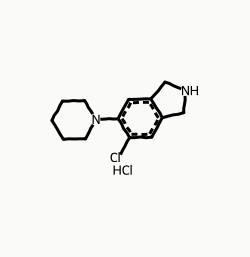 Cl.Clc1cc2c(cc1N1CCCCC1)CNC2